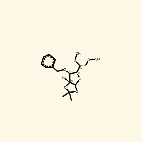 CC1(C)OC2O[C@H]([C@@H](COO)OO)[C@H](OCc3ccccc3)[C@H]2O1